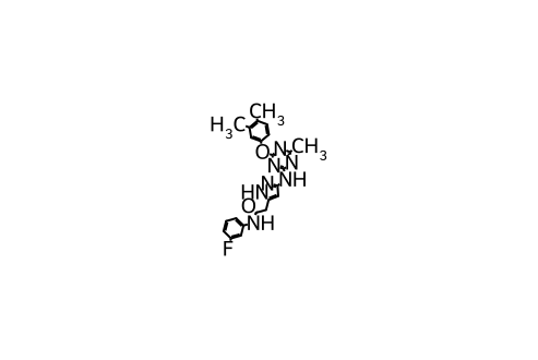 Cc1nc(Nc2cc(CC(=O)Nc3cccc(F)c3)[nH]n2)nc(Oc2ccc(C)c(C)c2)n1